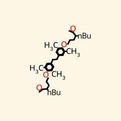 CCCCC(CCCOc1c(C)cc(CCc2cc(C)c(OCCCC(CCCC)C3CO3)c(C)c2)cc1C)C1CO1